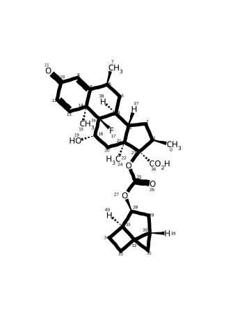 C[C@@H]1C[C@H]2[C@@H]3C[C@H](C)C4=CC(=O)C=C[C@]4(C)[C@@]3(F)[C@@H](O)C[C@]2(C)[C@@]1(OC(=O)O[C@H]1C[C@@H]2CC23CC[C@@H]13)C(=O)O